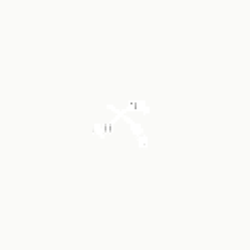 CC(N)(N)C#N